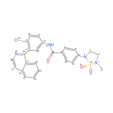 CN1CCN(c2ccc(C(=O)Nc3ccc(Cl)c(-c4nccc5ccccc45)c3)cc2)S1(=O)=O